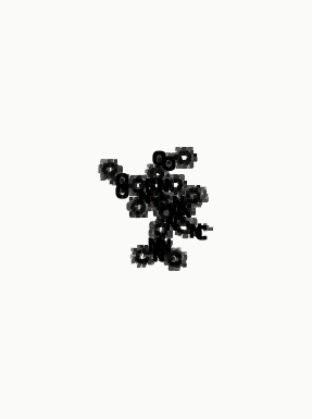 [C-]#[N+]c1ccc(-n2c3ccc(-c4cc5c6c(c4)N(c4ccccc4)c4cc(C(=O)OCc7ccccc7)ccc4B6c4ccc(C(=O)OCc6ccccc6)cc4N5c4ccccc4)cc3c3ccc(-c4nc(-c5ccccc5)nc(-c5ccccc5)n4)cc32)c(-c2nc(-c3ccccc3)nc(-c3ccccc3)n2)c1